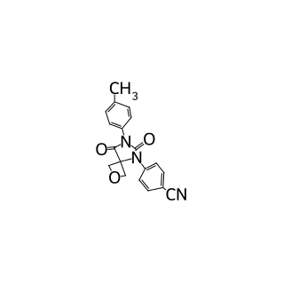 Cc1ccc(N2C(=O)N(c3ccc(C#N)cc3)C3(COC3)C2=O)cc1